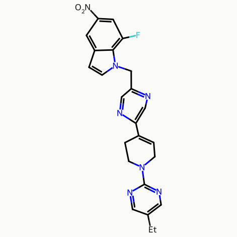 CCc1cnc(N2CC=C(c3cnc(Cn4ccc5cc([N+](=O)[O-])cc(F)c54)cn3)CC2)nc1